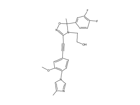 COc1cc(C#CC2=NOC(C)(c3ccc(F)c(F)c3)N2CCO)ccc1-n1cnc(C)c1